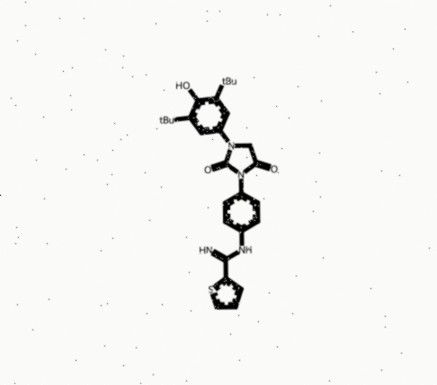 CC(C)(C)c1cc(N2CC(=O)N(c3ccc(NC(=N)c4cccs4)cc3)C2=O)cc(C(C)(C)C)c1O